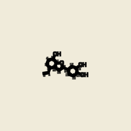 C=Cc1ccc(O)c2oc(-c3ccc(O)c(O)c3)cc12